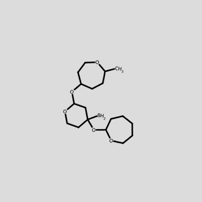 BC1(OC2CCCCCO2)CCOC(OC2CCOC(C)CC2)C1